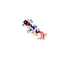 CC1(C)[C@@H]2CC[C@@]1(C)C(OC(=O)Cc1nc(Cl)nc3c1ncn3C1OC(COP(=O)(O)CP(=O)(O)O)C(O)C1O)C2